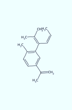 C=C(C)c1ccc(C)c(C(/C=C\C)=C(C)C)c1